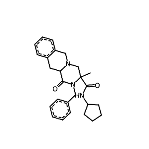 CC1(C(=O)NC2CCCC2)CN2Cc3ccccc3CC2C(=O)N1Cc1ccccc1